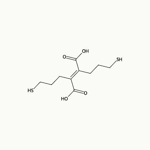 O=C(O)/C(CCCS)=C(\CCCS)C(=O)O